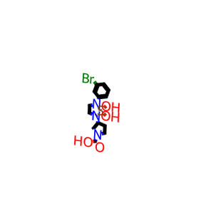 O=C(O)N1CCC(N2CCN(c3cccc(Br)c3)S2(O)O)C1